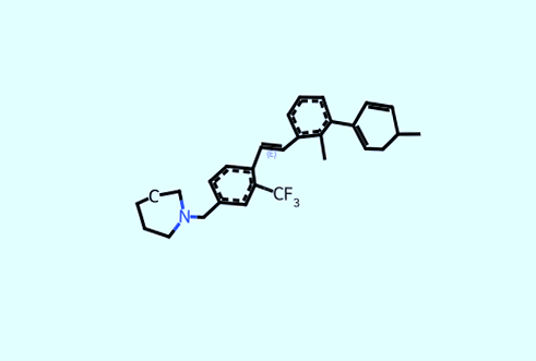 Cc1c(/C=C/c2ccc(CN3CCCCC3)cc2C(F)(F)F)cccc1C1=CCC(C)C=C1